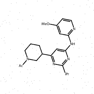 COc1ccnc(Nc2cc(C3CCCN(C(C)=O)C3)nc(C(C)C)n2)c1